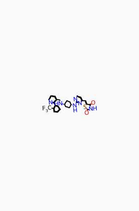 O=C1NC(=O)C(=Cc2ccnc(N[C@H]3CC[C@H](NCc4cccnc4-c4ccccc4C(F)(F)F)CC3)n2)S1